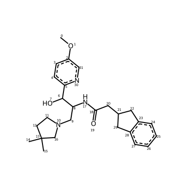 COc1ccc(C(O)C(CN2CCC(C)(C)C2)NC(=O)CC2Cc3ccccc3C2)nc1